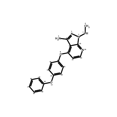 CPn1nc(N)c2c(Oc3ccc(Oc4ccccc4)cc3)ccnc21